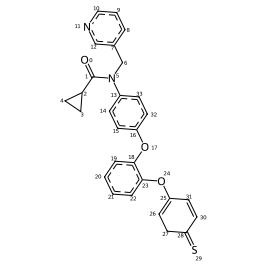 O=C(C1CC1)N(Cc1cccnc1)c1ccc(Oc2ccccc2OC2=CCC(=S)C=C2)cc1